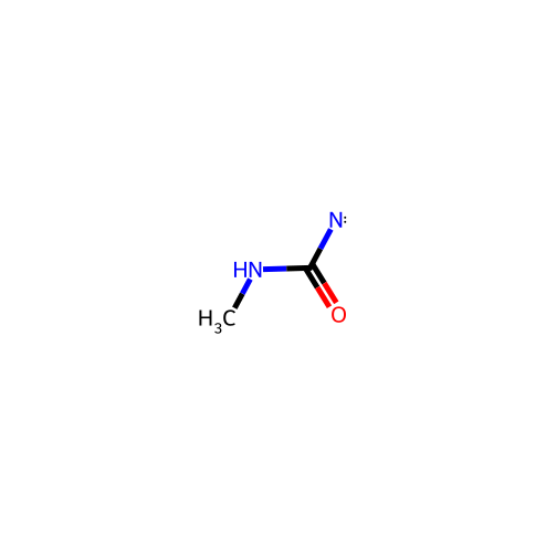 CNC([N])=O